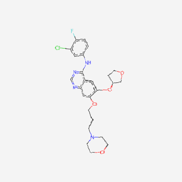 Fc1ccc(Nc2ncnc3cc(OCCCN4CCOCC4)c(O[C@H]4CCOC4)cc23)cc1Cl